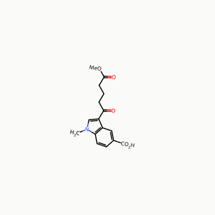 COC(=O)CCCC(=O)c1cn(C)c2ccc(C(=O)O)cc12